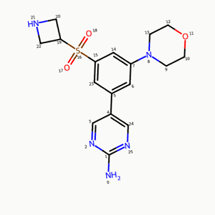 Nc1ncc(-c2cc(N3CCOCC3)cc(S(=O)(=O)C3CNC3)c2)cn1